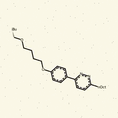 CCCCCCCCc1ccc(-c2ccc(OCCCCOC[C@@H](C)CC)cc2)nn1